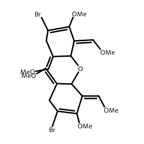 COC=C1CC(Br)=C(OC)C(=COC)C1OC1C(=COC)CC(Br)=C(OC)C1=COC